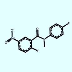 CN(C(=O)c1cc([N+](=O)[O-])ccc1F)c1ccc(F)cc1